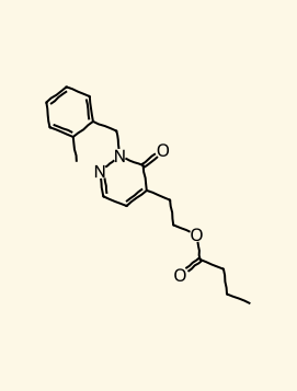 CCCC(=O)OCCc1ccnn(Cc2ccccc2C)c1=O